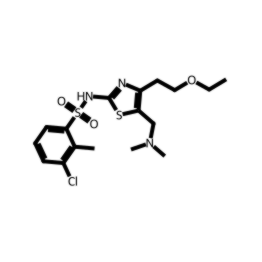 CCOCCc1nc(NS(=O)(=O)c2cccc(Cl)c2C)sc1CN(C)C